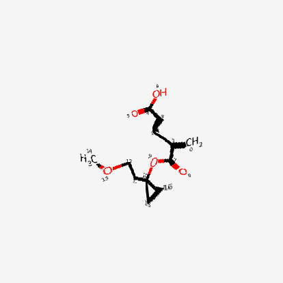 C=C(C=CC(=O)O)C(=O)OC1(CCOC)CC1